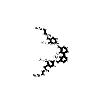 COc1nc(OCc2cccc(-c3cccc(COc4ccc(CNCCNC(C)=O)c(OC)n4)c3Cl)c2C)ccc1CNCCNC(C)=O